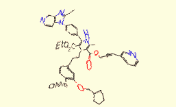 CCOC(=O)C1=C(c2ccc(-n3c(C)nc4cnccc43)cc2)NC(C)=C(C(=O)OCC#Cc2cccnc2)C1CCc1ccc(OC)c(OCC2CCCC2)c1